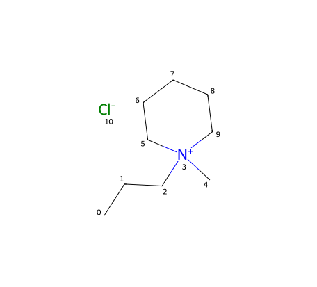 CCC[N+]1(C)CCCCC1.[Cl-]